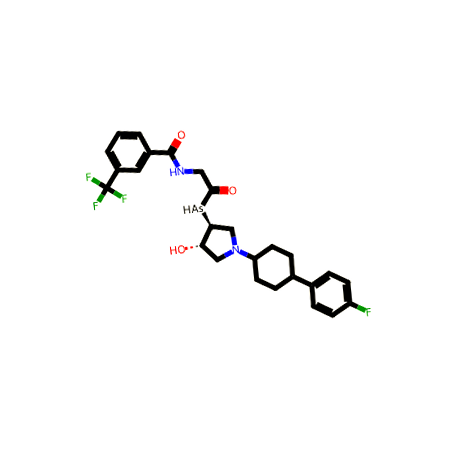 O=C(CNC(=O)c1cccc(C(F)(F)F)c1)[AsH][C@H]1CN(C2CCC(c3ccc(F)cc3)CC2)C[C@@H]1O